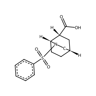 O=C(O)[C@@H]1C[C@@H]2CC[C@H]1N(S(=O)(=O)c1ccccc1)C2